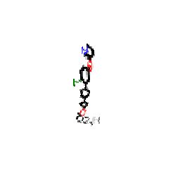 Cc1ccc(Oc2ccc(F)c(-c3ccc(C4CC(OCC(=O)O)C4)cc3)c2)cn1